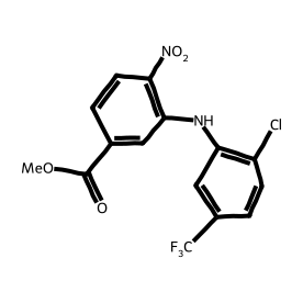 COC(=O)c1ccc([N+](=O)[O-])c(Nc2cc(C(F)(F)F)ccc2Cl)c1